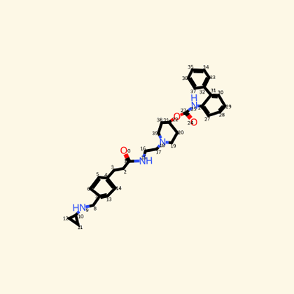 O=C(CCc1ccc(CNC2CC2)cc1)NCCN1CCC(OC(=O)Nc2ccccc2-c2ccccc2)CC1